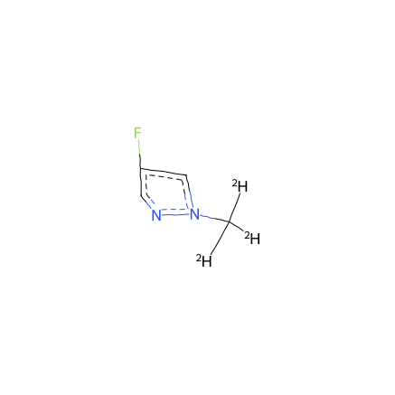 [2H]C([2H])([2H])n1cc(F)cn1